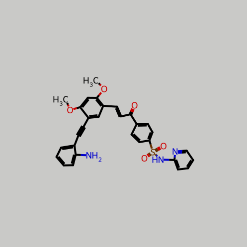 COc1cc(OC)c(/C=C/C(=O)c2ccc(S(=O)(=O)Nc3ccccn3)cc2)cc1C#Cc1ccccc1N